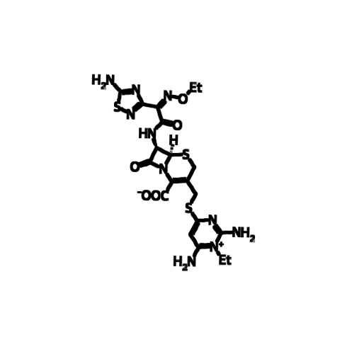 CCO/N=C(\C(=O)N[C@@H]1C(=O)N2C(C(=O)[O-])=C(CSc3cc(N)[n+](CC)c(N)n3)CS[C@H]12)c1nsc(N)n1